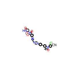 CC1(C)C(=O)N(c2ccc(C#N)c(Cl)c2)c2ccc(-c3ccc(N4CCN(CC5CN(c6ccc7c(c6)C(=O)N(C6CCC(=O)NC6=O)C7=O)C5)CC4)cc3)cc21